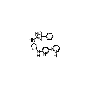 C1=CNN(c2ccc(N[C@H]3CC[C@H](Nc4noc(-c5ccccc5)n4)C3)nc2)C=C1